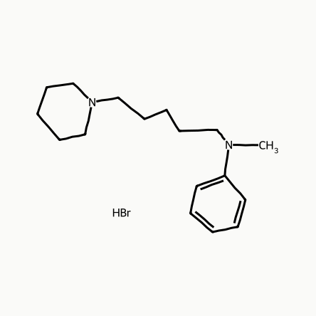 Br.CN(CCCCCN1CCCCC1)c1ccccc1